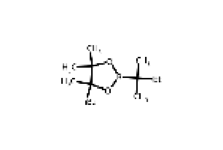 CCC(C)C1(C)OB(C(C)(C)CC)OC1(C)C